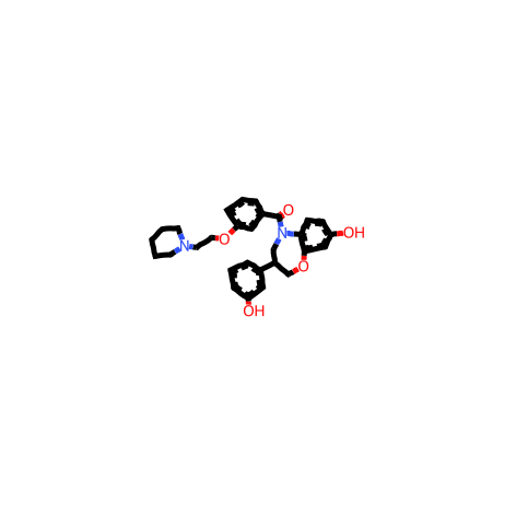 O=C(c1cccc(OCCN2CCCCC2)c1)N1CC(c2cccc(O)c2)COc2cc(O)ccc21